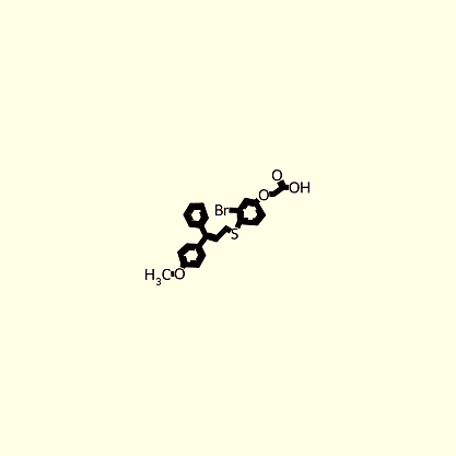 COc1ccc(C(=CCSc2ccc(OCC(=O)O)cc2Br)c2ccccc2)cc1